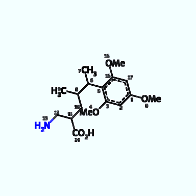 COc1cc(OC)c(C(C)C(C)CC(CN)C(=O)O)c(OC)c1